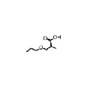 CCCOCC(C)C(=O)O